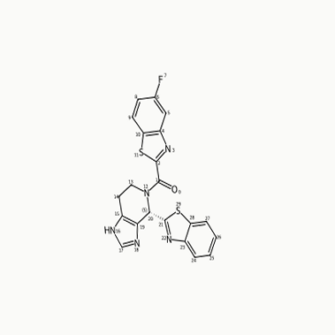 O=C(c1nc2cc(F)ccc2s1)N1CCc2[nH]cnc2[C@H]1c1nc2ccccc2s1